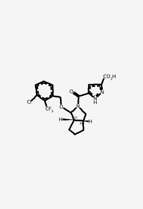 O=C(O)c1cc(C(=O)N2C[C@@H]3CCC[C@@H]3C2OCc2cccc(Cl)c2C(F)(F)F)[nH]n1